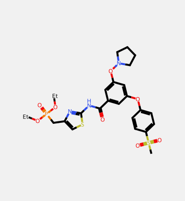 CCOP(=O)(Cc1csc(NC(=O)c2cc(Oc3ccc(S(C)(=O)=O)cc3)cc(ON3CCCC3)c2)n1)OCC